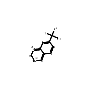 FC(F)(F)c1ccc2c(c1)=NCNC=2